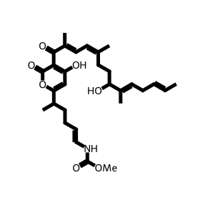 CC=CCC=C(C)C(O)CCC(C)=CC=C(C)C(=O)c1c(O)cc(C(C)CCC=CNC(=O)OC)oc1=O